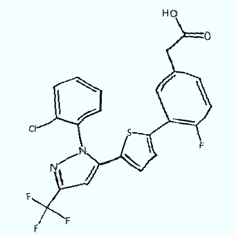 O=C(O)Cc1ccc(F)c(-c2ccc(-c3cc(C(F)(F)F)nn3-c3ccccc3Cl)s2)c1